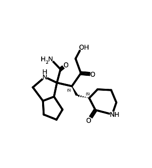 NC(=O)C1([C@H](C[C@@H]2CCCNC2=O)C(=O)CO)NCC2CCCC21